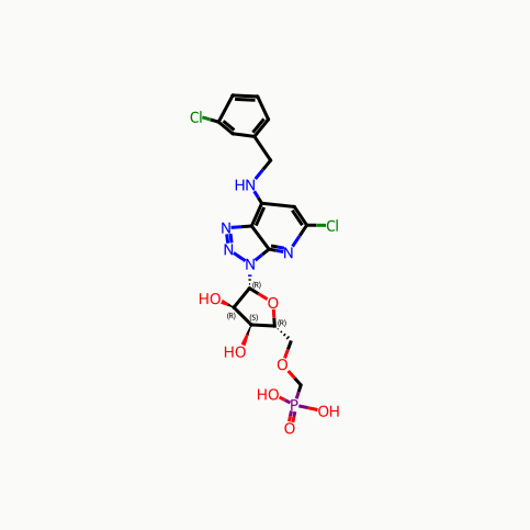 O=P(O)(O)COC[C@H]1O[C@@H](n2nnc3c(NCc4cccc(Cl)c4)cc(Cl)nc32)[C@H](O)[C@@H]1O